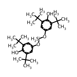 CC(C)(C)c1cc(O[SiH2]Oc2cc(C(C)(C)C)c(O)c(C(C)(C)C)c2)cc(C(C)(C)C)c1O